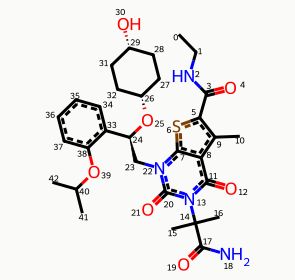 CCNC(=O)c1sc2c(c1C)c(=O)n(C(C)(C)C(N)=O)c(=O)n2C[C@H](O[C@H]1CC[C@@H](O)CC1)c1ccccc1OC(C)C